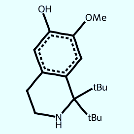 COc1cc2c(cc1O)CCNC2(C(C)(C)C)C(C)(C)C